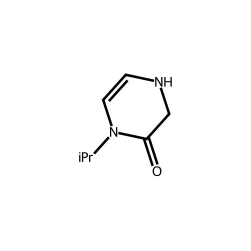 CC(C)N1C=CNCC1=O